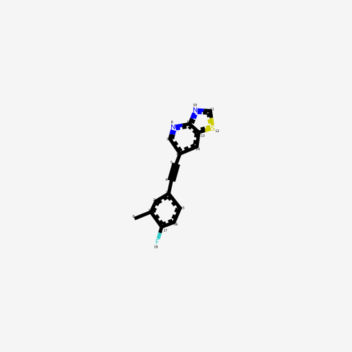 Cc1cc(C#Cc2cnc3ncsc3c2)ccc1F